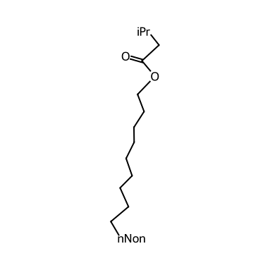 CCCCCCCCCCCCCCCCCCOC(=O)CC(C)C